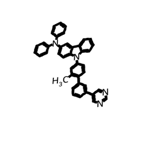 Cc1cc(-n2c3ccccc3c3cc(N(c4ccccc4)c4ccccc4)ccc32)ccc1-c1cccc(-c2cncnc2)c1